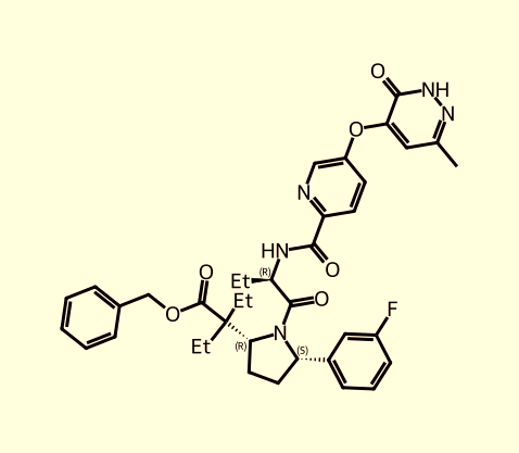 CC[C@@H](NC(=O)c1ccc(Oc2cc(C)n[nH]c2=O)cn1)C(=O)N1[C@H](c2cccc(F)c2)CC[C@@H]1C(CC)(CC)C(=O)OCc1ccccc1